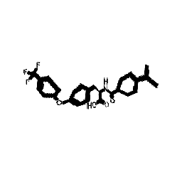 CC(C)C1CCC(C(=O)N[C@H](Cc2ccc(Oc3ccc(C(F)(F)F)cc3)cc2)C(=O)O)CC1